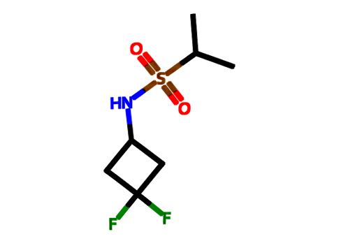 CC(C)S(=O)(=O)NC1CC(F)(F)C1